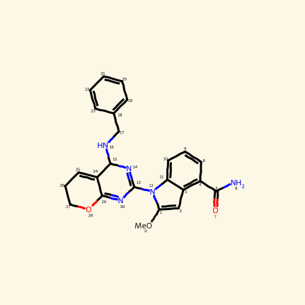 COc1cc2c(C(N)=O)cccc2n1C1=NC(NCc2ccccc2)C2=CCCOC2=N1